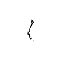 CC(C)(C)C1CN=C(CSc2cnc(NC(=O)CCCCCCC(=O)Nc3ccc(N)cc3)s2)O1